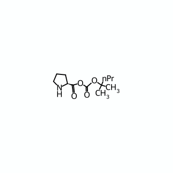 CCCC(C)(C)OC(=O)OC(=O)[C@@H]1CCCN1